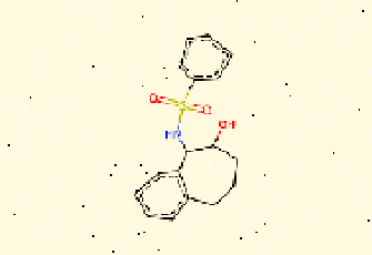 O=S(=O)(NC1c2ccccc2CCCC1O)c1ccccc1